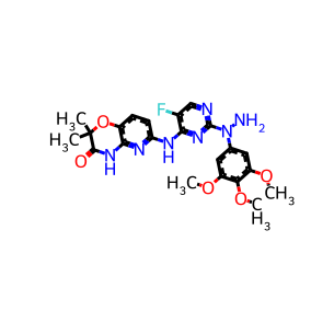 COc1cc(N(N)c2ncc(F)c(Nc3ccc4c(n3)NC(=O)C(C)(C)O4)n2)cc(OC)c1OC